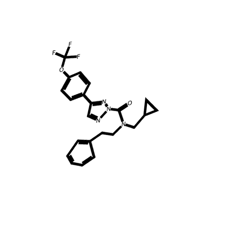 O=C(N(CCc1ccccc1)CC1CC1)n1ncc(-c2ccc(OC(F)(F)F)cc2)n1